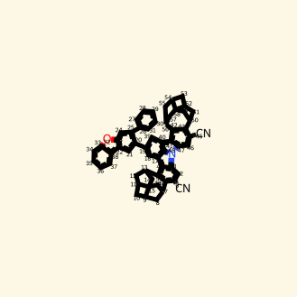 N#Cc1cc2c(c3c1C1CC4CC5CC3CC45C1)c1cc(-c3cc4c(cc3-c3ccccc3)oc3ccccc34)cc3c4c5c(c(C#N)cc4n2c13)C1CC2CC3CC5CC23C1